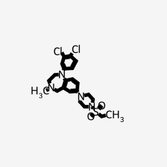 CCS(=O)(=O)N1CCN(c2ccc3c(c2)CN(C)CCN3c2ccc(Cl)c(Cl)c2)CC1